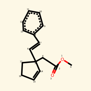 COC(=O)CC1(C=Cc2ccccc2)C=CCC1